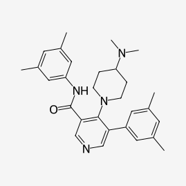 Cc1cc(C)cc(NC(=O)c2cncc(-c3cc(C)cc(C)c3)c2N2CCC(N(C)C)CC2)c1